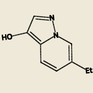 CCc1ccc2c(O)cnn2c1